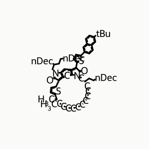 CCCCCCCCCCCCC1CCCCCCCCCCC(C)(C)c2ccc(s2)C2=c3cc4c(cc3N(CC(CCCCCCCCCC)CCCCCCCCCCCC)C2=O)=C(c2ccc(-c3ccc5cc(C(C)(C)C)ccc5c3)s2)C(=O)N4C1